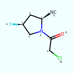 [C-]#[N+][C@@H]1C[C@H](F)CN1C(=O)CCl